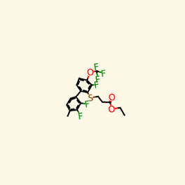 CCOC(=O)CCSc1c(-c2ccc(C)c(F)c2F)ccc(OC(F)(F)F)c1F